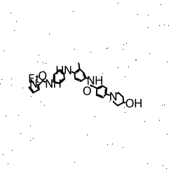 CCn1cccc1C(=O)Nc1ccc(Nc2ccc(NC(=O)c3ccc(N4CCC(O)CC4)cc3)cc2C)cc1